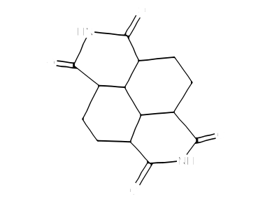 O=C1NC(=O)C2CCC3C(=O)NC(=O)C4CCC1C2C43